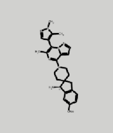 COc1ccc2c(c1)[C@@H](N)C1(CCN(c3nc(C)c(-c4cnn(C)c4C)n4nccc34)CC1)C2